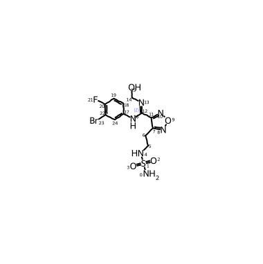 NS(=O)(=O)NCCc1nonc1/C(=N/CO)Nc1ccc(F)c(Br)c1